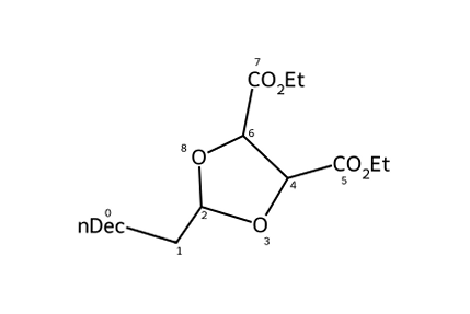 CCCCCCCCCCCC1OC(C(=O)OCC)C(C(=O)OCC)O1